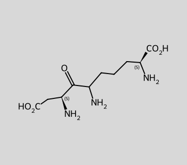 NC(CCC[C@H](N)C(=O)O)C(=O)[C@@H](N)CC(=O)O